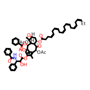 CC/C=C\C/C=C\C/C=C\C/C=C\C/C=C\C/C=C\CCC(=O)O[C@H]1C[C@H]2OC[C@@]2(OC(C)=O)[C@H]2[C@H](OC(=O)c3ccccc3)[C@]3(O)CC(OC(=O)C(O)[C@@H](NC(=O)c4ccccc4)c4ccccc4)C(C)=C([C@@H](OC(C)=O)C(=O)[C@]12C)C3(C)C